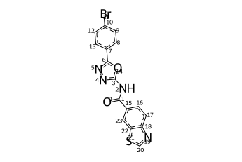 O=C(Nc1nnc(-c2ccc(Br)cc2)o1)c1ccc2ncsc2c1